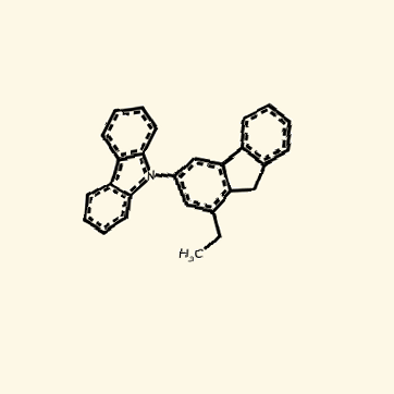 CCc1cc(-n2c3ccccc3c3ccccc32)cc2c1Cc1ccccc1-2